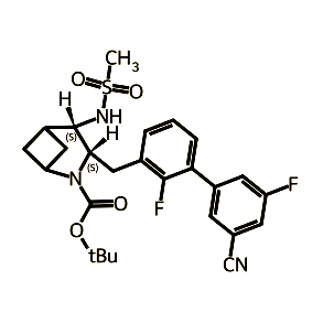 CC(C)(C)OC(=O)N1C2CC(C2)[C@H](NS(C)(=O)=O)[C@@H]1Cc1cccc(-c2cc(F)cc(C#N)c2)c1F